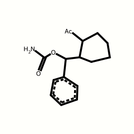 CC(=O)C1CCCCC1C(OC(N)=O)c1ccccc1